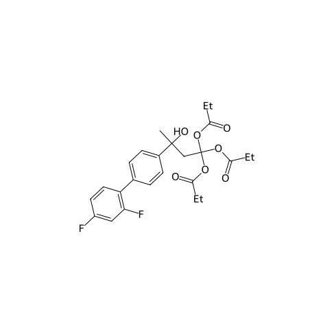 CCC(=O)OC(CC(C)(O)c1ccc(-c2ccc(F)cc2F)cc1)(OC(=O)CC)OC(=O)CC